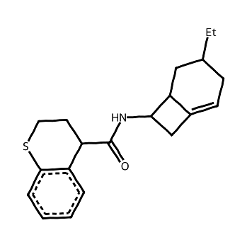 CCC1CC=C2CC(NC(=O)C3CCSc4ccccc43)C2C1